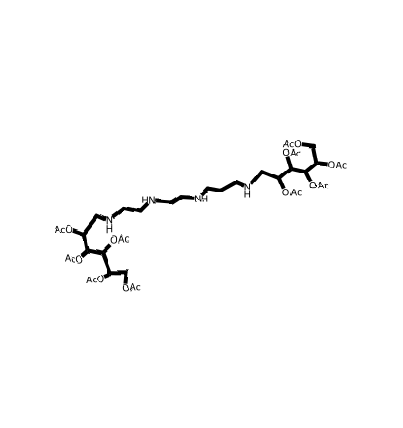 CC(=O)OCC(OC(C)=O)C(OC(C)=O)C(OC(C)=O)C(CNCCCNCCNCCNCC(OC(C)=O)C(OC(C)=O)C(OC(C)=O)C(COC(C)=O)OC(C)=O)OC(C)=O